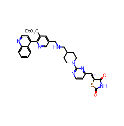 CCOC(=O)c1cc(CNCC2CCN(c3nccc(/C=C4\SC(=O)NC4=O)n3)CC2)cnc1-c1ccnc2ccccc12